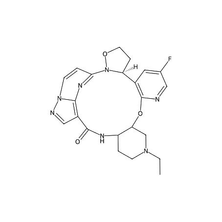 CCN1CCC2NC(=O)c3cnn4ccc(nc34)N3OCC[C@H]3c3cc(F)cnc3OC2C1